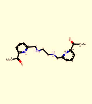 COC(=O)c1cccc(CNCCNCc2cccc(C(=O)OC)n2)n1